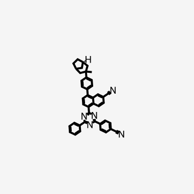 CC1(c2ccc(-c3ccc(-c4nc(-c5ccccc5)nc(-c5ccc(C#N)cc5)n4)c4ccc(C#N)cc34)cc2)CC2CC[C@H](C2)C1